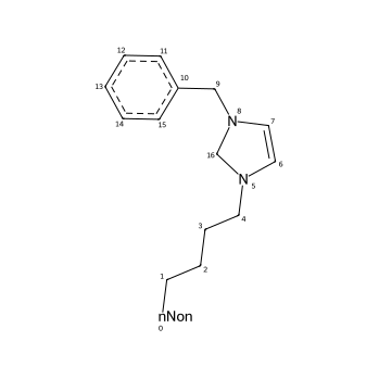 CCCCCCCCCCCCCN1C=CN(Cc2ccccc2)C1